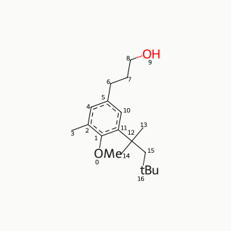 COc1c(C)cc(CCCO)cc1C(C)(C)CC(C)(C)C